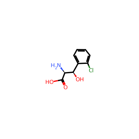 N[C@H](C(=O)O)[C@H](O)c1ccccc1Cl